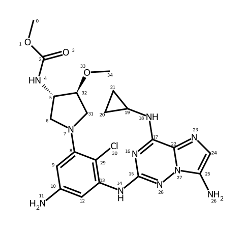 COC(=O)N[C@H]1CN(c2cc(N)cc(Nc3nc(NC4CC4)c4ncc(N)n4n3)c2Cl)C[C@@H]1OC